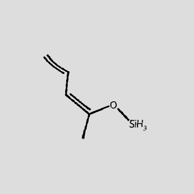 C=CC=C(C)O[SiH3]